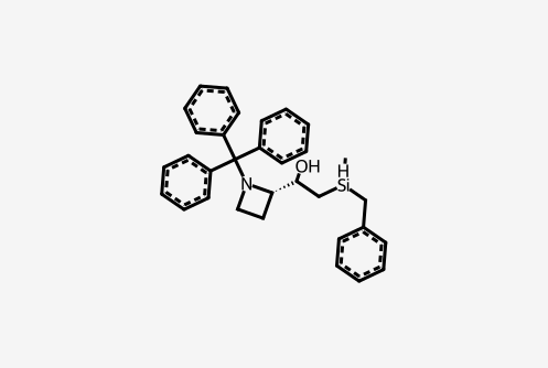 C[SiH](Cc1ccccc1)CC(O)[C@@H]1CCN1C(c1ccccc1)(c1ccccc1)c1ccccc1